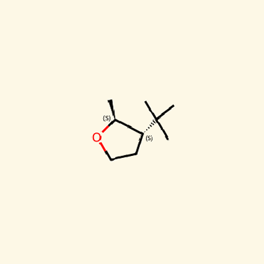 C[C@@H]1OCC[C@H]1C(C)(C)C